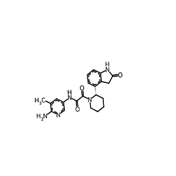 Cc1cc(NC(=O)C(=O)N2CCCC[C@H]2c2cccc3c2CC(=O)N3)cnc1N